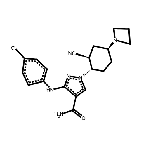 N#C[C@H]1C[C@@H](N2CCC2)CC[C@@H]1n1cc(C(N)=O)c(Nc2ccc(Cl)cc2)n1